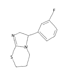 Fc1cccc(C2CN=C3SCCCN32)c1